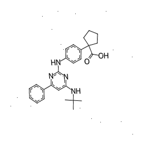 CC(C)(C)Nc1cc(-c2ccccc2)nc(Nc2ccc(C3(C(=O)O)CCCC3)cc2)n1